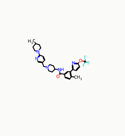 Cc1ccc(C(=O)NC2CCN(Cc3ccc(N4CCC(C)CC4)nc3)CC2)cc1-c1ccc(OC(F)(F)F)nc1